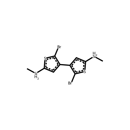 C[SiH2]c1cc(-c2cc([SiH2]C)sc2Br)c(Br)s1